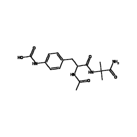 CC(=O)NC(Cc1ccc(NC(=O)O)cc1)C(=O)NC(C)(C)C(N)=O